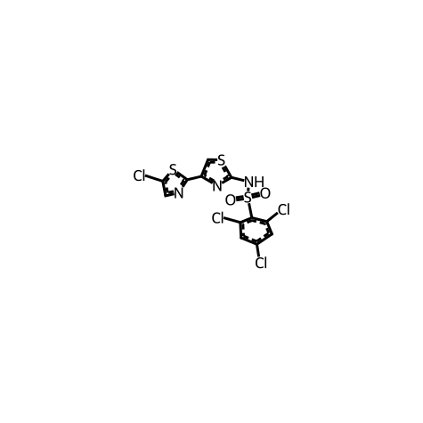 O=S(=O)(Nc1nc(-c2ncc(Cl)s2)cs1)c1c(Cl)cc(Cl)cc1Cl